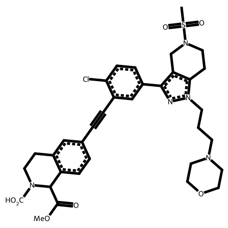 COC(=O)C1c2ccc(C#Cc3cc(-c4nn(CCCN5CCOCC5)c5c4CN(S(C)(=O)=O)CC5)ccc3Cl)cc2CCN1C(=O)O